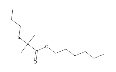 CCCCCCOC(=O)C(C)(C)SCCC